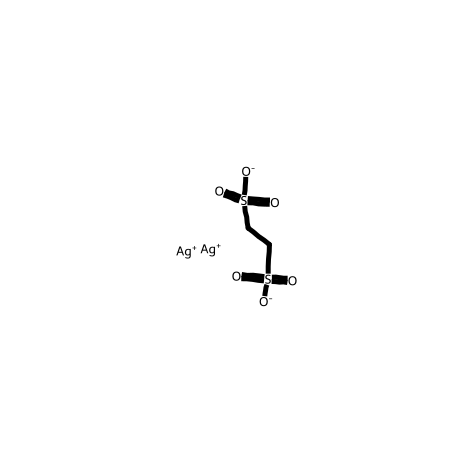 O=S(=O)([O-])CCS(=O)(=O)[O-].[Ag+].[Ag+]